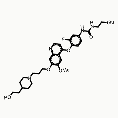 COc1cc2c(Oc3ccc(NC(=O)NCCC(C)(C)C)cc3F)ccnc2cc1OCCCN1CCC(CCO)CC1